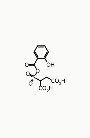 O=C(O)CC(C(=O)O)S(=O)(=O)OC(=O)c1ccccc1O